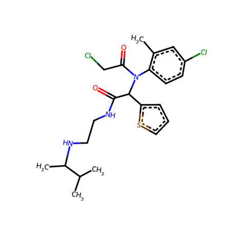 Cc1cc(Cl)ccc1N(C(=O)CCl)C(C(=O)NCCNC(C)C(C)C)c1cccs1